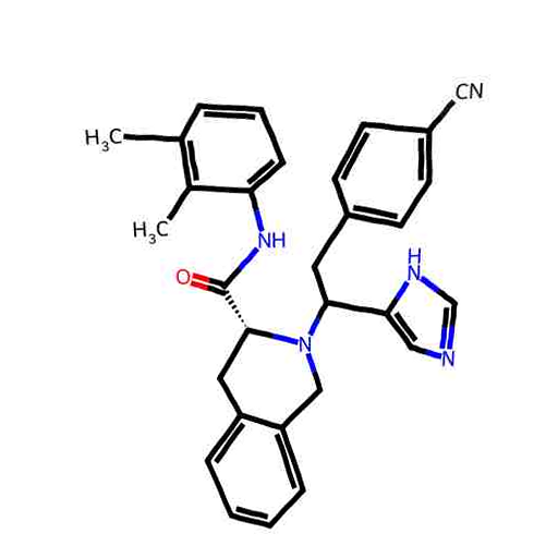 Cc1cccc(NC(=O)[C@H]2Cc3ccccc3CN2C(Cc2ccc(C#N)cc2)c2cnc[nH]2)c1C